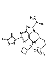 CC1CCC(Cn2c(C(C)O)nc3nc(-c4noc(=O)[nH]4)nc(N[C@H](C)C4CCC4)c32)CC1